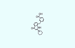 O=C(O)c1cccc(Cc2cccc3c(=O)cc(N4CCCCC4)[nH]c23)c1